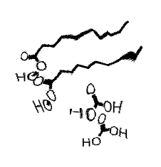 CCCCCCCCCC(=O)OO.CCCCCCCCCC(=O)OO.O=C(O)O.O=C(O)O